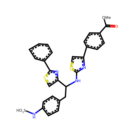 COC(=O)c1ccc(-c2csc(NC(Cc3[c]cc(NS(=O)(=O)O)cc3)c3csc(-c4ccccc4)n3)n2)cc1